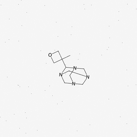 CC1(C2N3CN4CN(C3)CN2C4)COC1